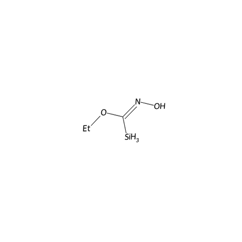 CCOC([SiH3])=NO